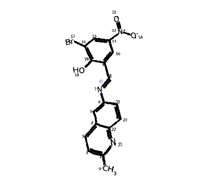 Cc1ccc2cc(/N=C/c3cc([N+](=O)[O-])cc(Br)c3O)ccc2n1